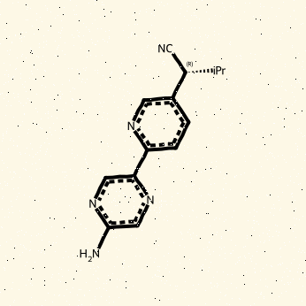 CC(C)[C@@H](C#N)c1ccc(-c2cnc(N)cn2)nc1